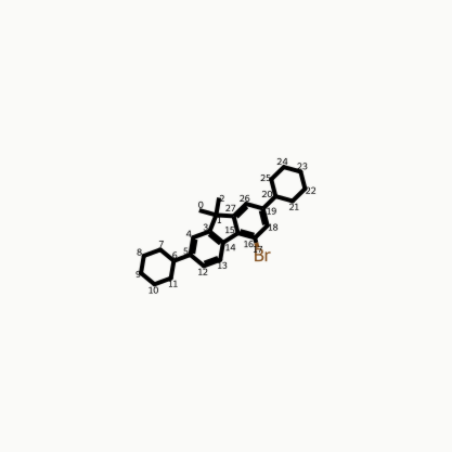 CC1(C)c2cc(C3CCCCC3)ccc2-c2c(Br)cc(C3CCCCC3)cc21